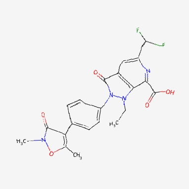 CCn1c2c(C(=O)O)nc(C(F)F)cc2c(=O)n1-c1ccc(-c2c(C)on(C)c2=O)cc1